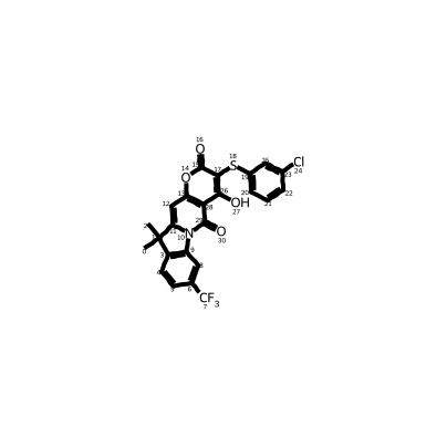 CC1(C)c2ccc(C(F)(F)F)cc2-n2c1cc1oc(=O)c(Sc3cccc(Cl)c3)c(O)c1c2=O